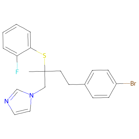 CC(CCc1ccc(Br)cc1)(Cn1ccnc1)Sc1ccccc1F